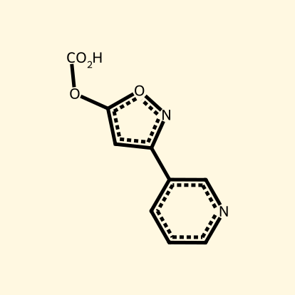 O=C(O)Oc1cc(-c2cccnc2)no1